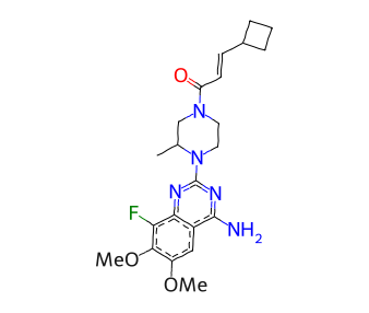 COc1cc2c(N)nc(N3CCN(C(=O)C=CC4CCC4)CC3C)nc2c(F)c1OC